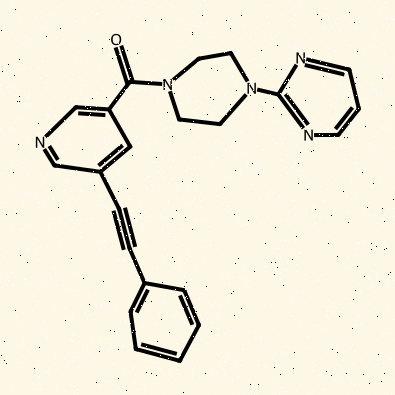 O=C(c1cncc(C#Cc2ccccc2)c1)N1CCN(c2ncccn2)CC1